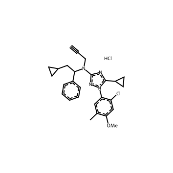 C#CCN(c1nc(C2CC2)n(-c2cc(C)c(OC)cc2Cl)n1)C(CC1CC1)c1ccccc1.Cl